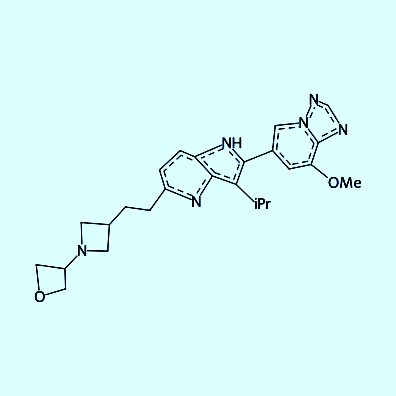 COc1cc(-c2[nH]c3ccc(CCC4CN(C5COC5)C4)nc3c2C(C)C)cn2ncnc12